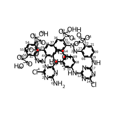 Nc1nc(Cl)nc(Nc2cc(Nc3nc(Cl)nc(Nc4ccc(S(=O)(=O)O)c(N=Nc5c(S(=O)(=O)O)cc6cc(S(=O)(=O)O)c(/N=N\c7cc(S(=O)(=O)O)ccc7S(=O)(=O)O)c(N)c6c5O)c4)n3)ccc2S)n1